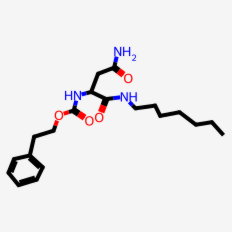 CCCCCCCNC(=O)C(CC(N)=O)NC(=O)OCCc1ccccc1